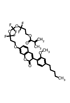 C=C(C)C(=O)OCCC(F)(F)OC(F)(F)OC(F)(F)CCOc1ccc2cc(-c3ccc(CCCCC)cc3OC)c(=O)oc2c1